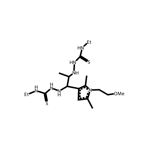 CCNC(=S)NNC(C)C(NNC(=S)NCC)c1cc(C)n(CCOC)c1C